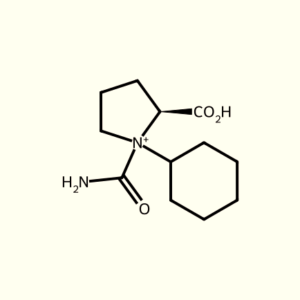 NC(=O)[N+]1(C2CCCCC2)CCC[C@H]1C(=O)O